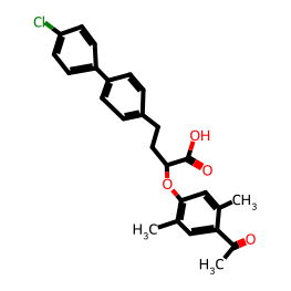 CC(=O)c1cc(C)c(OC(CCc2ccc(-c3ccc(Cl)cc3)cc2)C(=O)O)cc1C